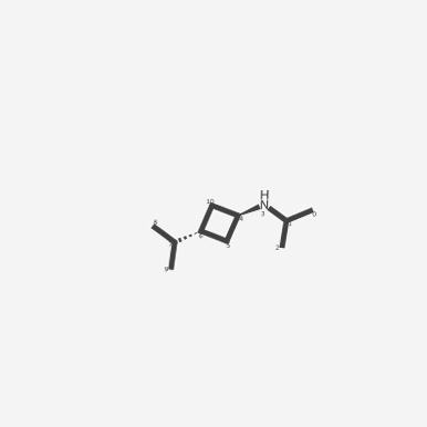 CC(C)N[C@H]1C[C@H](C(C)C)C1